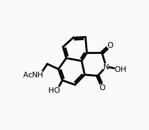 CC(=O)NCc1c(O)cc2c3c(cccc13)C(=O)N(O)C2=O